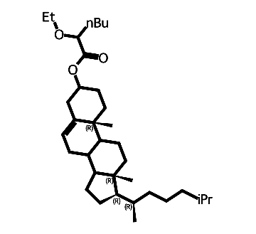 CCCCC(OCC)C(=O)OC1CC[C@@]2(C)C(=CCC3C2CC[C@@]2(C)C3CC[C@@H]2[C@H](C)CCCC(C)C)C1